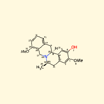 COc1cc2c(cc1O)[C@@H]1Cc3cccc(OC)c3CN1[C@H](C)C2